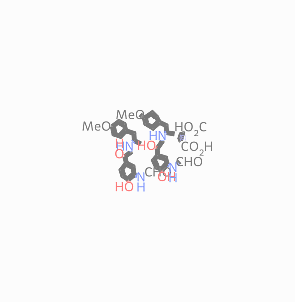 COc1ccc(CC(C)NCC(O)c2ccc(O)c(NC=O)c2)cc1.COc1ccc(CC(C)NCC(O)c2ccc(O)c(NC=O)c2)cc1.O=C(O)/C=C/C(=O)O